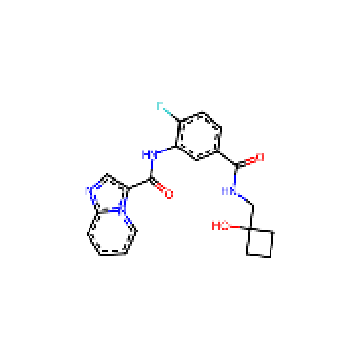 O=C(NCC1(O)CCC1)c1ccc(F)c(NC(=O)c2cnc3ccccn23)c1